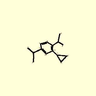 [CH2]C(C)c1ccc(C(C)C)c(C2CC2)c1